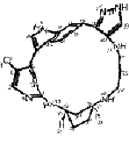 FC(F)(F)c1cnc2nc1-c1c[nH]c3cc(ccc13)-c1n[nH]cc1NCCCN[C@H]1CC[C@@H](C1)N2